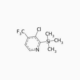 C[Si](C)(C)c1nccc(C(F)(F)F)c1Cl